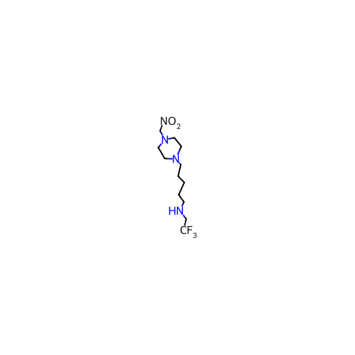 O=[N+]([O-])CN1CCN(CCCCCNCC(F)(F)F)CC1